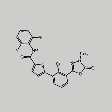 CCc1c(-c2nn(C)c(=O)o2)cccc1-c1ccc(C(=O)Nc2c(F)cccc2F)s1